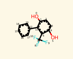 Oc1ccc(O)c(C(F)(F)F)c1-c1ccccc1